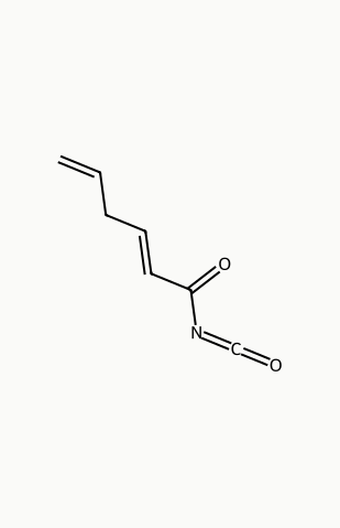 C=CCC=CC(=O)N=C=O